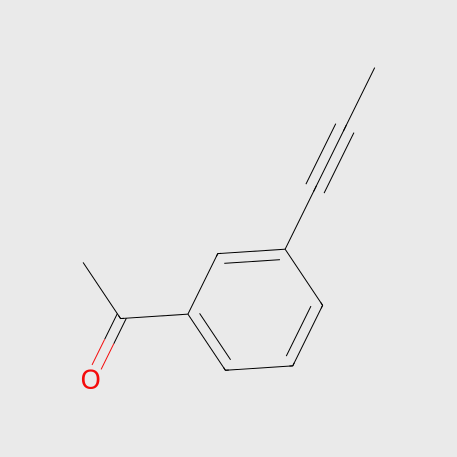 CC#Cc1cccc(C(C)=O)c1